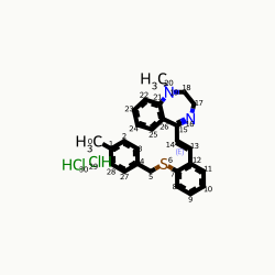 Cc1ccc(CSc2ccccc2/C=C/C2=NCCN(C)c3ccccc32)cc1.Cl.Cl